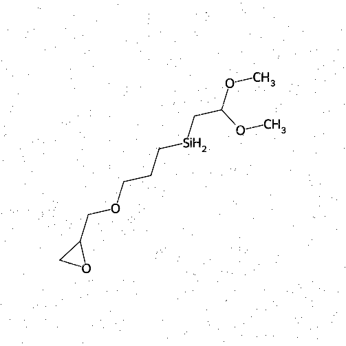 COC(C[SiH2]CCCOCC1CO1)OC